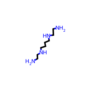 NCCNCCCCNCCN